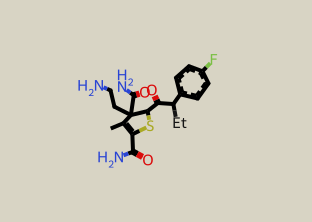 CCC(C(=O)C1SC(C(N)=O)=C(C)C1(CCN)C(N)=O)c1ccc(F)cc1